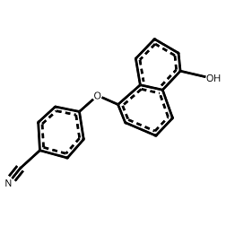 N#Cc1ccc(Oc2cccc3c(O)cccc23)cc1